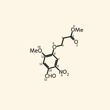 COC(=O)CCOc1cc([N+](=O)[O-])c(C=O)cc1OC